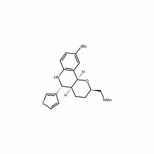 CNC[C@H]1CC[C@@H]2[C@H](O1)c1cc(C(C)(C)C)ccc1N[C@H]2c1ccsc1